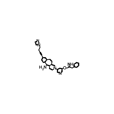 NC1=C2C=CN(c3cncc(OC[C@H](N)Cc4ccccc4)c3)C=C2C=Cc2cc(C#CCCn3ccnc3)ccc21